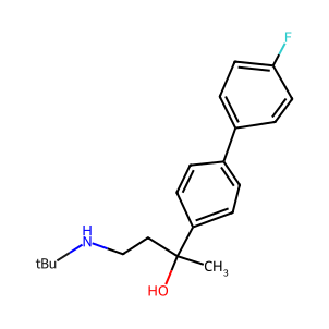 CC(C)(C)NCCC(C)(O)c1ccc(-c2ccc(F)cc2)cc1